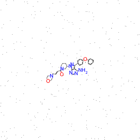 Nc1ncnc2c1c(-c1ccc(Oc3ccccc3)cc1)nn2[C@@H]1CCCN(C(=O)C=CCN2CCOCC2)C1